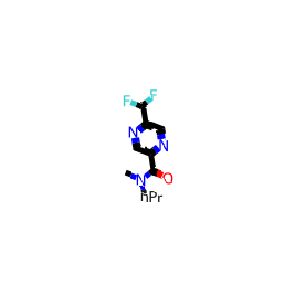 CCCN(C)C(=O)c1cnc(C(F)F)cn1